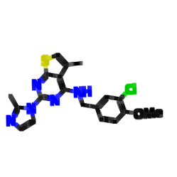 COc1ccc(CNc2nc(-n3ccnc3C)nc3scc(C)c23)cc1Cl